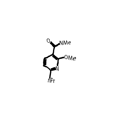 CCCc1ccc(C(=O)NC)c(OC)n1